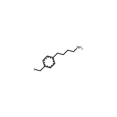 NCCCCc1ccc(CI)cc1